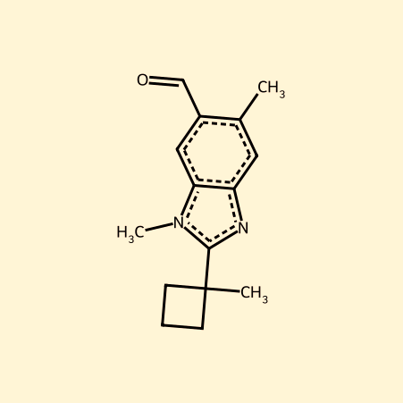 Cc1cc2nc(C3(C)CCC3)n(C)c2cc1C=O